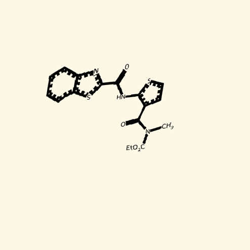 CCOC(=O)N(C)C(=O)c1ccsc1NC(=O)c1nc2ccccc2s1